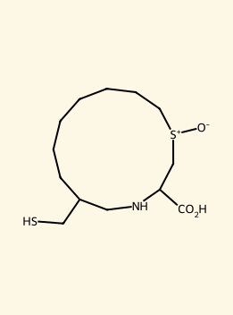 O=C(O)C1C[S+]([O-])CCCCCCCC(CS)CN1